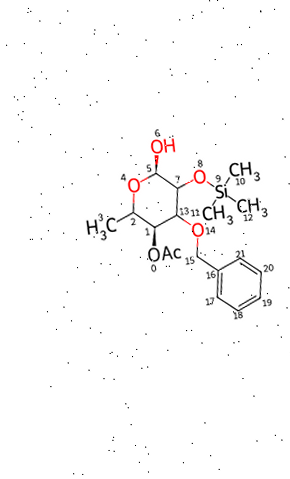 CC(=O)O[C@H]1C(C)O[C@@H](O)C(O[Si](C)(C)C)C1OCc1ccccc1